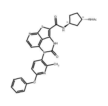 CC(=O)N[C@H]1CC[C@H](NC(=O)c2sc3nccc4c3c2NC(=O)N4c2ccc(Oc3ccccc3)nc2C)C1